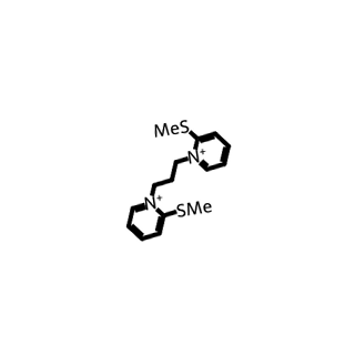 CSc1cccc[n+]1CCC[n+]1ccccc1SC